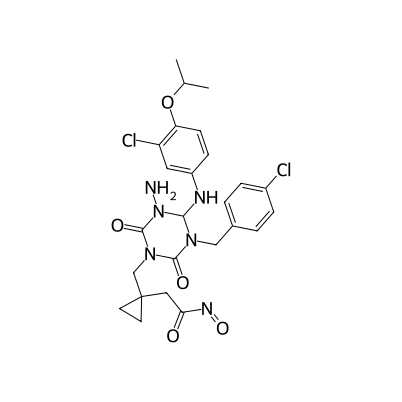 CC(C)Oc1ccc(NC2N(N)C(=O)N(CC3(CC(=O)N=O)CC3)C(=O)N2Cc2ccc(Cl)cc2)cc1Cl